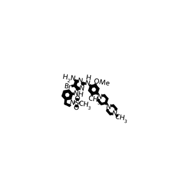 COc1cc(N2CCC(N3CCN(C)CC3)CC2)c(C)cc1Nc1nc(N)c(Br)c(Nc2cccc3c2N(S(C)(=O)=O)CC3)n1